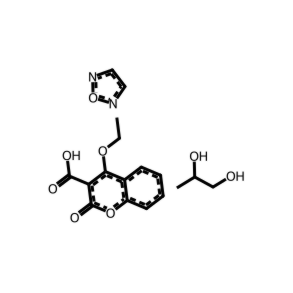 CC(O)CO.CCOc1c(C(=O)O)c(=O)oc2ccccc12.c1cnon1